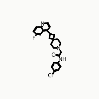 O=C(CN1CCC2(CC1)CC(c1ccnc3ccc(F)cc13)C2)Nc1ccc(Cl)cc1